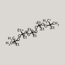 CCC(C)(C)OOC(CC)(CC)OOC(CC)(CC)OOC(CC)(CC)OOC(C)(C)CC